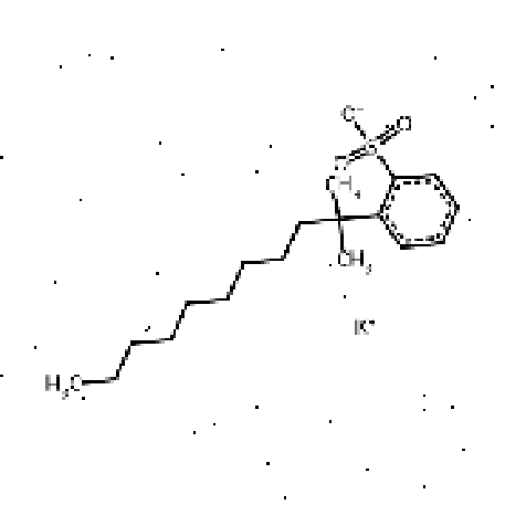 CCCCCCCCCC(C)(C)c1ccccc1S(=O)(=O)[O-].[K+]